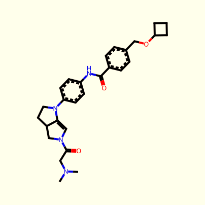 CN(C)CC(=O)N1C=C2C(CCN2c2ccc(NC(=O)c3ccc(COC4CCC4)cc3)cc2)C1